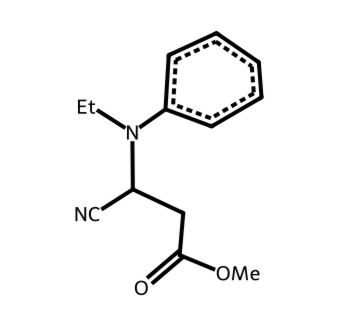 CCN(c1ccccc1)C(C#N)CC(=O)OC